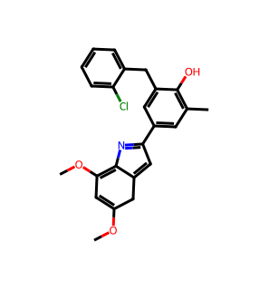 COC1=CC(OC)=C2N=C(c3cc(C)c(O)c(Cc4ccccc4Cl)c3)C=C2C1